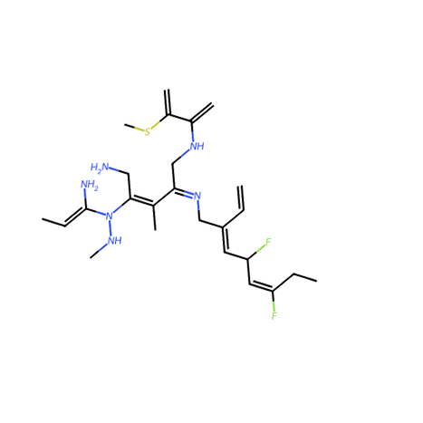 C=C/C(=C\C(F)/C=C(/F)CC)C/N=C(CNC(=C)C(=C)SC)\C(C)=C(/CN)N(NC)/C(N)=C/C